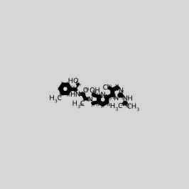 Cc1cccc([C@@H](CO)NC(=O)[C@@H](C)N2Cc3ccc(-c4nc(NC(C)C)ncc4Cl)nc3C2O)c1